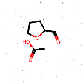 CC(=O)O.O=CC1CCCO1